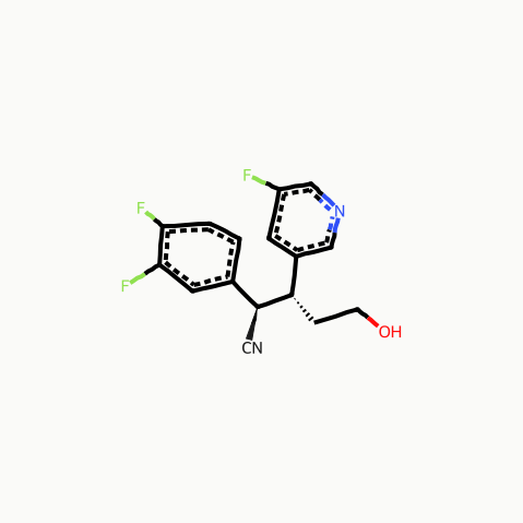 N#C[C@@H](c1ccc(F)c(F)c1)[C@@H](CCO)c1cncc(F)c1